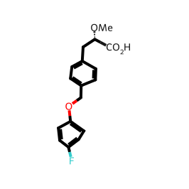 CO[C@@H](Cc1ccc(COc2ccc(F)cc2)cc1)C(=O)O